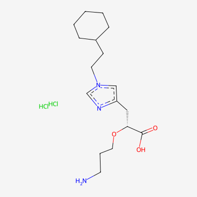 Cl.Cl.NCCCO[C@H](Cc1cn(CCC2CCCCC2)cn1)C(=O)O